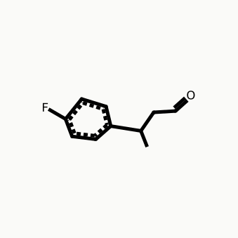 CC(CC=O)c1ccc(F)cc1